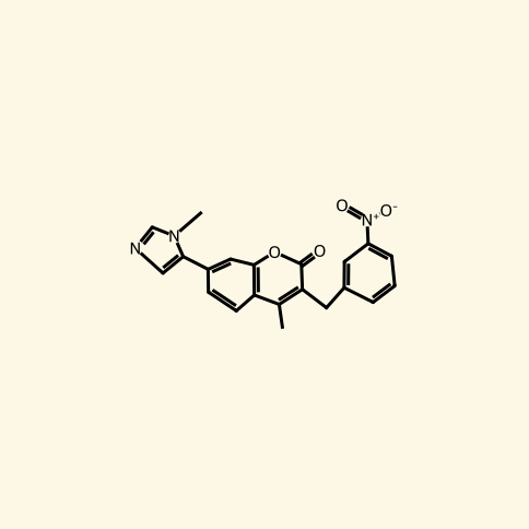 Cc1c(Cc2cccc([N+](=O)[O-])c2)c(=O)oc2cc(-c3cncn3C)ccc12